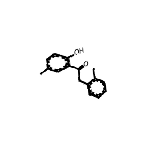 Cc1ccc(O)c(C(=O)Cc2ccccc2C)c1